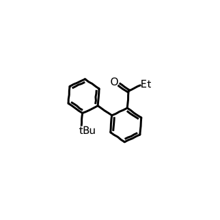 CCC(=O)c1ccccc1-c1ccccc1C(C)(C)C